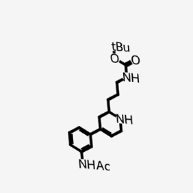 CC(=O)Nc1cccc(C2=CCNC(CCCNC(=O)OC(C)(C)C)C2)c1